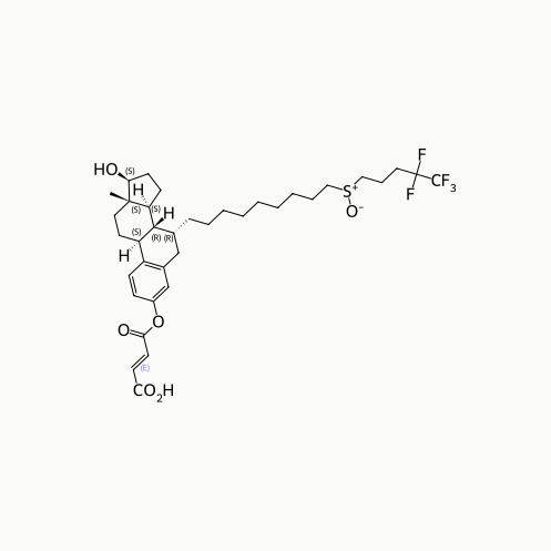 C[C@]12CC[C@@H]3c4ccc(OC(=O)/C=C/C(=O)O)cc4C[C@@H](CCCCCCCCC[S+]([O-])CCCC(F)(F)C(F)(F)F)[C@H]3[C@@H]1CC[C@@H]2O